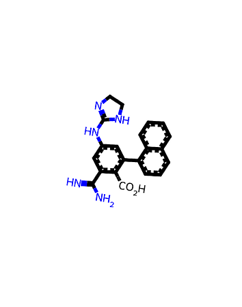 N=C(N)c1cc(NC2=NCCN2)cc(-c2cccc3ccccc23)c1C(=O)O